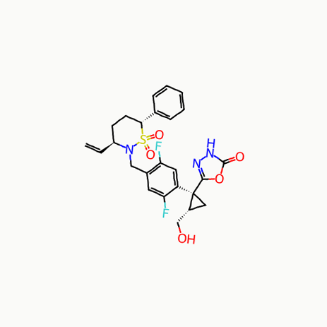 C=C[C@H]1CC[C@H](c2ccccc2)S(=O)(=O)N1Cc1cc(F)c([C@]2(c3n[nH]c(=O)o3)C[C@@H]2CO)cc1F